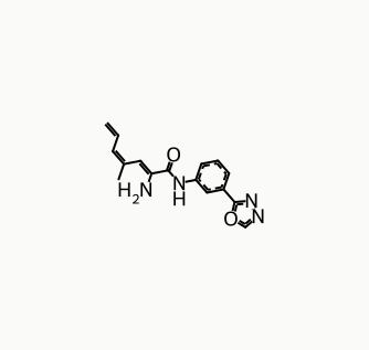 C=C/C=C(C)\C=C(/N)C(=O)Nc1cccc(-c2nnco2)c1